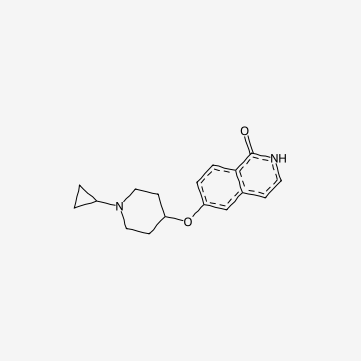 O=c1[nH]ccc2cc(OC3CCN(C4CC4)CC3)ccc12